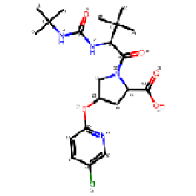 CC(C)(C)NC(=O)NC(C(=O)N1CC(Oc2ccc(Cl)cn2)CC1C(=O)O)C(C)(C)C